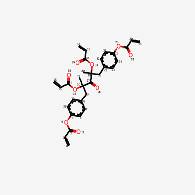 C=CC(=O)Oc1ccc(CC(C)(OC(=O)C=C)C(=O)C(C)(Cc2ccc(OC(=O)C=C)cc2)OC(=O)C=C)cc1